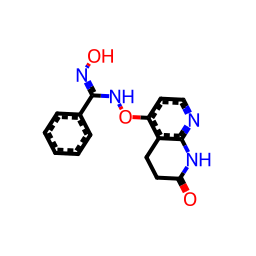 O=C1CCc2c(ON/C(=N\O)c3ccccc3)ccnc2N1